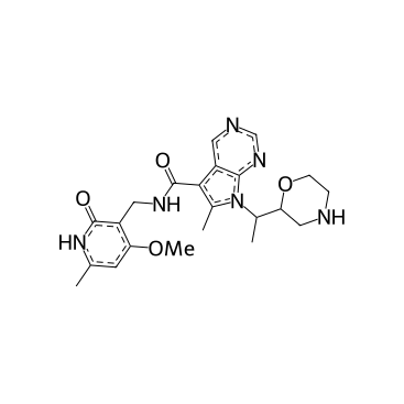 COc1cc(C)[nH]c(=O)c1CNC(=O)c1c(C)n(C(C)C2CNCCO2)c2ncncc12